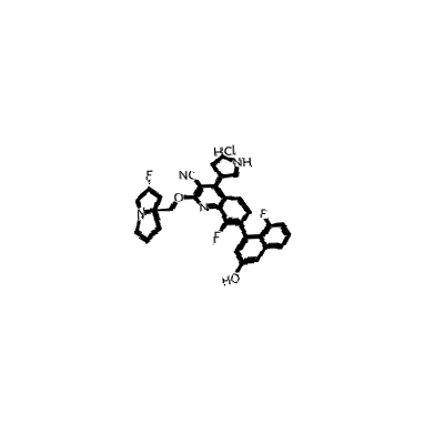 Cl.N#Cc1c(OC[C@@]23CCCN2C[C@H](F)C3)nc2c(F)c(-c3cc(O)cc4cccc(F)c34)ccc2c1C1CCNC1